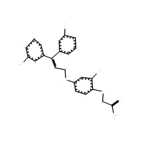 O=C(O)COc1ccc(SCC=C(c2cccc(F)c2)c2cccc(F)c2)cc1I